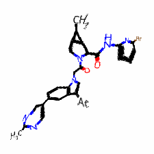 CC(=O)c1cn(CC(=O)N2CC3C(C)C3C2C(=O)Nc2cccc(Br)n2)c2ccc(-c3cnc(C)nc3)cc12